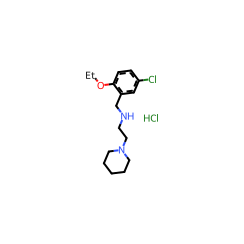 CCOc1ccc(Cl)cc1CNCCN1CCCCC1.Cl